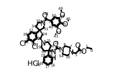 CCOC(=O)CN1CCN(C(=O)NC2(c3ccccc3)CCN(CC[C@@]3(c4ccc(Cl)c(Cl)c4)CCN(C(=O)c4cc(OC)c(OC)c(OC)c4)C3)CC2)CC1.Cl